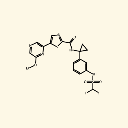 CCOc1cncc(-c2cnc(C(=O)NC3(c4cccc(NS(=O)(=O)C(F)F)c4)CC3)s2)n1